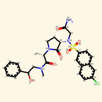 C[C@@H](C(=O)N(C)CC(O)c1ccccc1)N1CC[C@H](N(CC(N)=O)S(=O)(=O)c2ccc3cc(Cl)ccc3c2)C1=O